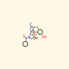 CCN1CCC23c4cc(O)ccc4CC1C21CCC2C3[C@@H](CN2C(=O)c2ccccc2)O1